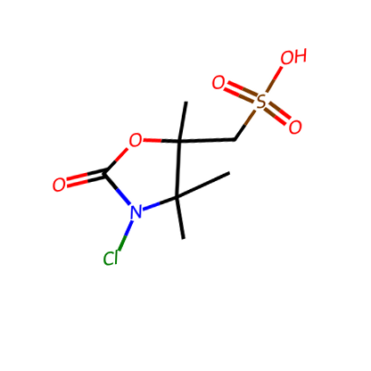 CC1(CS(=O)(=O)O)OC(=O)N(Cl)C1(C)C